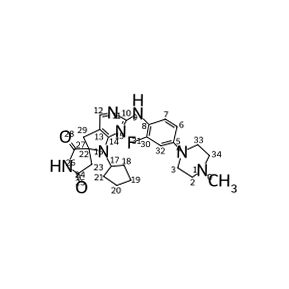 CN1CCN(c2ccc(Nc3ncc4c(n3)N(C3CCCC3)C3(CC(=O)NC3=O)C4)c(F)c2)CC1